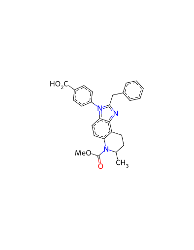 COC(=O)N1c2ccc3c(nc(Cc4ccccc4)n3-c3ccc(C(=O)O)cc3)c2CCC1C